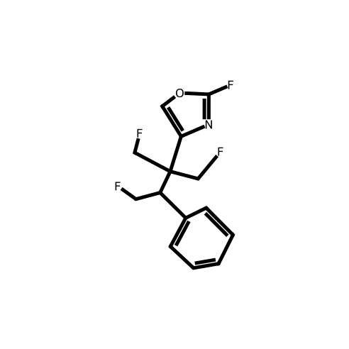 FCC(c1ccccc1)C(CF)(CF)c1coc(F)n1